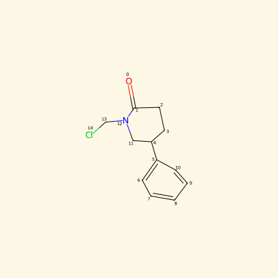 O=C1CCC(c2ccccc2)CN1CCl